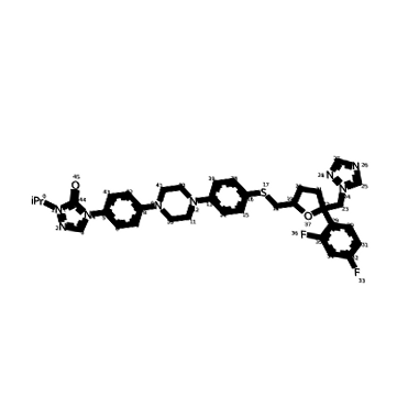 CC(C)n1ncn(-c2ccc(N3CCN(c4ccc(SCC5CCC(Cn6cncn6)(c6ccc(F)cc6F)O5)cc4)CC3)cc2)c1=O